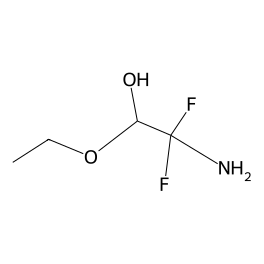 CCOC(O)C(N)(F)F